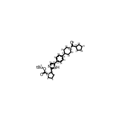 CC(C)(C)OC(=O)N1CCCC1c1ncc(-c2ccc(C3CCN(C(=O)C4CCCC4)CC3)cc2)[nH]1